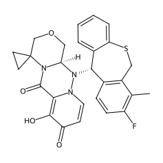 Cc1c(F)ccc2c1CSc1ccccc1[C@H]2N1[C@@H]2COCC3(CC3)N2C(=O)c2c(O)c(=O)ccn21